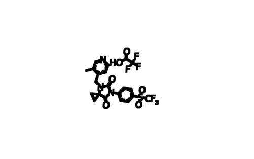 Cc1cnccc1CN1C(=O)N(c2ccc(S(=O)(=O)C(F)(F)F)cc2)C(=O)C12CC2.O=C(O)C(F)(F)F